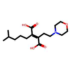 CC(C)CCCC(C(=O)O)=C(CCN1CCOCC1)C(=O)O